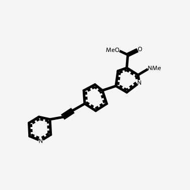 CNc1ncc(-c2ccc(C#Cc3cccnc3)cc2)cc1C(=O)OC